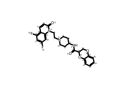 O=C(NC1CCN(CCn2c(=O)ccc3c(F)cc(F)cc32)CC1)C1COc2ccccc2O1